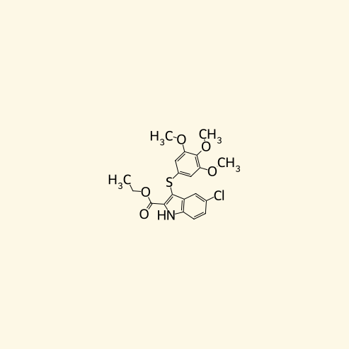 CCOC(=O)c1[nH]c2ccc(Cl)cc2c1Sc1cc(OC)c(OC)c(OC)c1